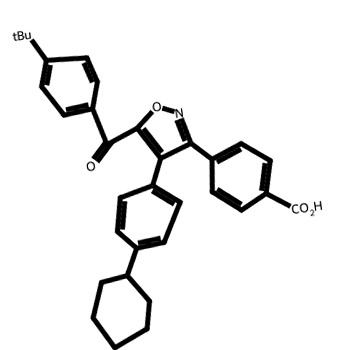 CC(C)(C)c1ccc(C(=O)c2onc(-c3ccc(C(=O)O)cc3)c2-c2ccc(C3CCCCC3)cc2)cc1